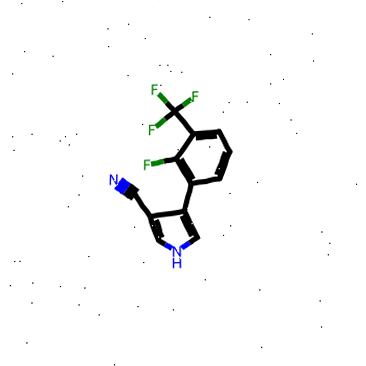 N#Cc1c[nH]cc1-c1cccc(C(F)(F)F)c1F